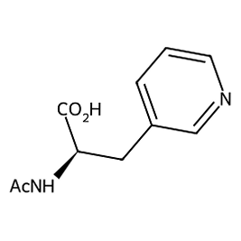 CC(=O)N[C@H](Cc1cccnc1)C(=O)O